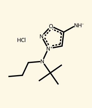 CCCN([n+]1cc([NH-])on1)C(C)(C)C.Cl